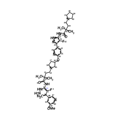 C=C(/C(F)=C(\NN)NC(=O)C(C)(C)CCN1CCC(Oc2ccc(-c3n[nH]c(NC(=O)C(C)(C)CCN4CCCC4)c3F)cn2)C1)c1cncc(OC)c1